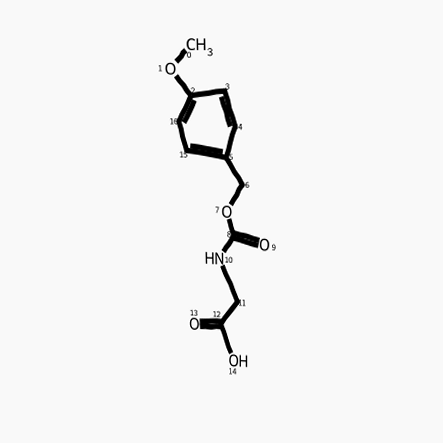 COc1ccc(COC(=O)NCC(=O)O)cc1